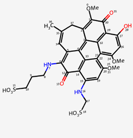 COc1c2c3c4c(c(NCCCS(=O)(=O)O)c(=O)c5c(NCS(=O)(=O)O)cc(OC)c(c6c(OC)cc(O)c(c1=O)c63)c54)C=C(C)C2